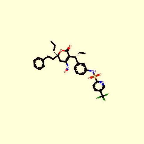 CCC[C@@]1(CCc2ccccc2)CC(N=O)=C([C@H](CC)c2cccc(NS(=O)(=O)c3ccc(C(F)(F)F)cn3)c2)C(=O)O1